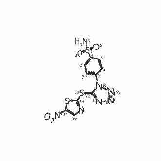 NS(=O)(=O)c1ccc(-n2nnnc2Sc2ncc([N+](=O)[O-])s2)cc1